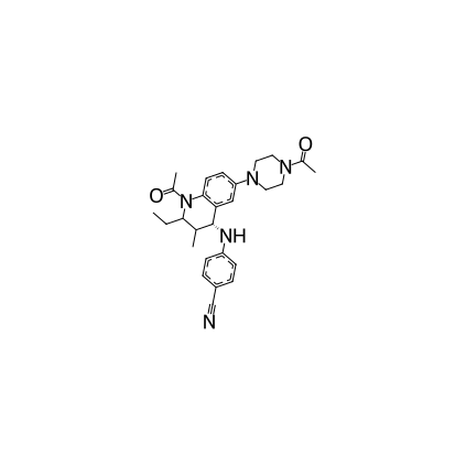 CCC1C(C)[C@@H](Nc2ccc(C#N)cc2)c2cc(N3CCN(C(C)=O)CC3)ccc2N1C(C)=O